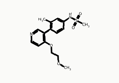 COCCOc1ccncc1-c1ccc(NS(C)(=O)=O)cc1C